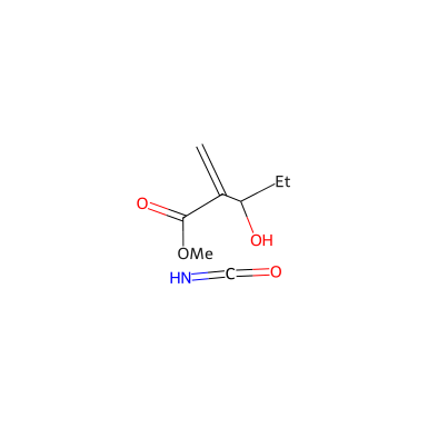 C=C(C(=O)OC)C(O)CC.N=C=O